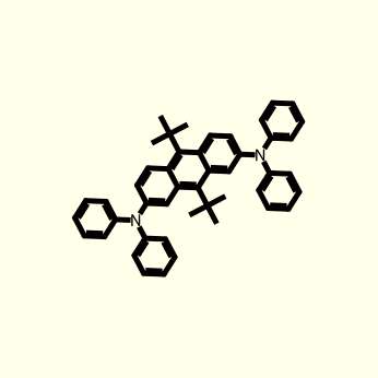 CC(C)(C)c1c2ccc(N(c3ccccc3)c3ccccc3)cc2c(C(C)(C)C)c2cc(N(c3ccccc3)c3ccccc3)ccc12